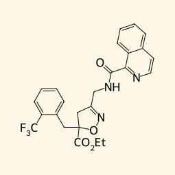 CCOC(=O)C1(Cc2ccccc2C(F)(F)F)CC(CNC(=O)c2nccc3ccccc23)=NO1